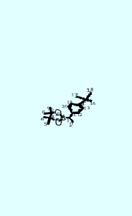 CC(B1OC(C)(C)C(C)(C)O1)c1ccc(C(C)(C)C)cc1